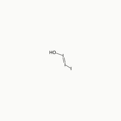 O/I=I/I